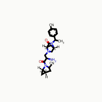 CC(c1ccc(C#N)cc1)N1C(=O)[C@@H]2C[C@H]1CN2CC(N)C(=O)N1C(C#N)C[C@@H]2C[C@@H]21